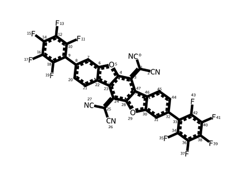 N#CC(C#N)=c1c2oc3cc(-c4c(F)c(F)c(F)c(F)c4F)ccc3c2c(=C(C#N)C#N)c2oc3cc(-c4c(F)c(F)c(F)c(F)c4F)ccc3c12